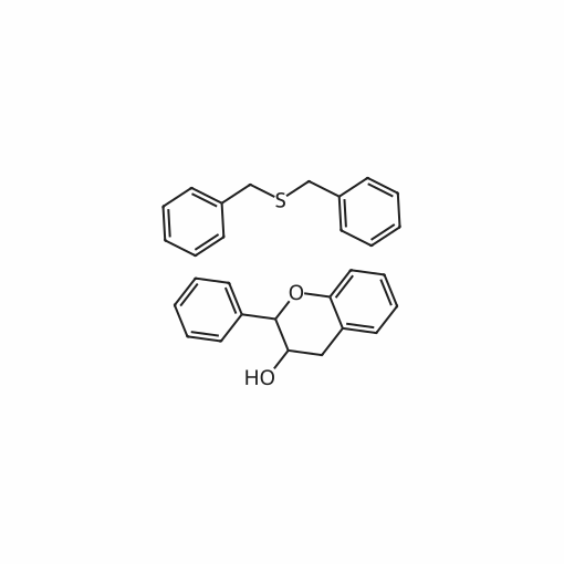 OC1Cc2ccccc2OC1c1ccccc1.c1ccc(CSCc2ccccc2)cc1